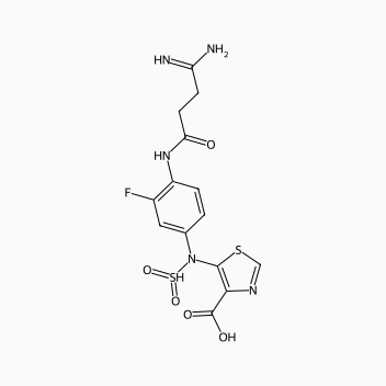 N=C(N)CCC(=O)Nc1ccc(N(c2scnc2C(=O)O)[SH](=O)=O)cc1F